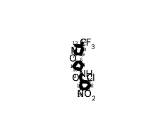 O=C(Nc1ccc(Oc2ccc(C(F)(F)F)cn2)cc1)c1cc([N+](=O)[O-])ccc1Cl